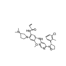 C=CC(=O)Nc1cc(Nc2cc(N3OCC[C@@H]3c3cccc(Cl)c3C)ncn2)c(OC)cc1N1CCC(N(C)C)C1